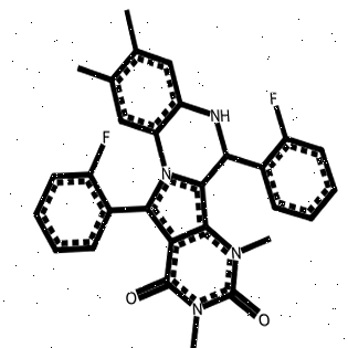 Cc1cc2c(cc1C)-n1c(-c3ccccc3F)c3c(=O)n(C)c(=O)n(C)c3c1C(c1ccccc1F)N2